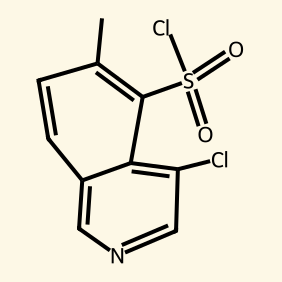 Cc1ccc2cncc(Cl)c2c1S(=O)(=O)Cl